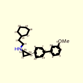 COc1cccc(-c2ccc([C@@H]3C[C@H]3NCCC3CCCCC3)cc2)c1